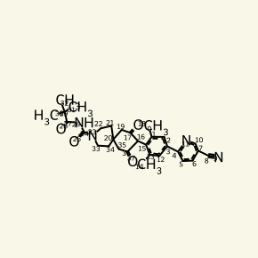 Cc1cc(-c2ccc(C#N)cn2)cc(C)c1C1C(=O)CC2(CCN(C(=O)NC(=O)C(C)(C)C)CC2)CC1=O